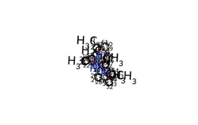 CC1=CC2c3cc(C)ccc3N(c3c(-c4nc(-c5ccccc5)nc(-c5cccc(-c6ccccc6C)c5-n5c6ccc(C)cc6c6cc(C)ccc65)n4)cccc3C3CC=CCC3C)C2C=C1